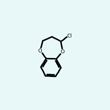 ClC1CCOc2c[c]ccc2O1